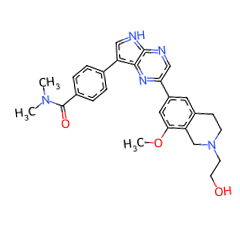 COc1cc(-c2cnc3[nH]cc(-c4ccc(C(=O)N(C)C)cc4)c3n2)cc2c1CN(CCO)CC2